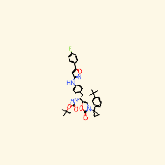 CC(C)(C)OC(=O)N[C@@H](Cc1ccc(Nc2cc(-c3ccc(F)cc3)on2)cc1)C1CN(C2(c3cccc(C(C)(C)C)c3)CC2)C(=O)O1